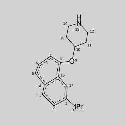 CC(C)c1ccc2cccc(OC3CCNCC3)c2c1